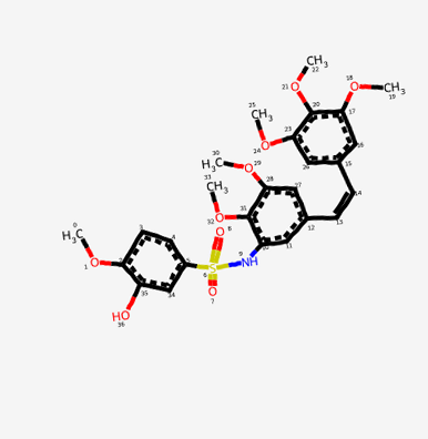 COc1ccc(S(=O)(=O)Nc2cc(/C=C\c3cc(OC)c(OC)c(OC)c3)cc(OC)c2OC)cc1O